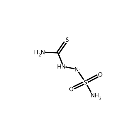 NC(=S)N[N]S(N)(=O)=O